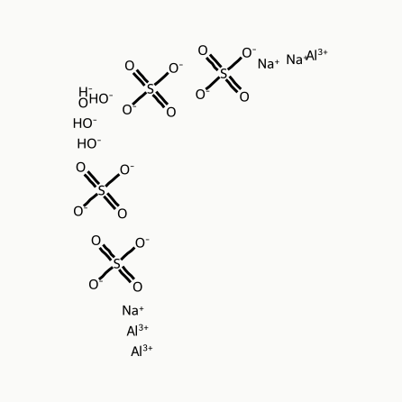 O=S(=O)([O-])[O-].O=S(=O)([O-])[O-].O=S(=O)([O-])[O-].O=S(=O)([O-])[O-].[Al+3].[Al+3].[Al+3].[Na+].[Na+].[Na+].[OH-].[OH-].[OH-].[OH-]